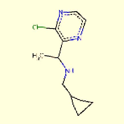 CC(NCC1CC1)c1nccnc1Cl